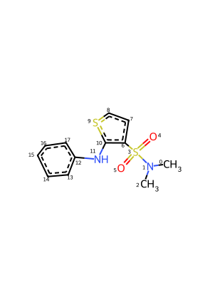 CN(C)S(=O)(=O)c1ccsc1Nc1ccccc1